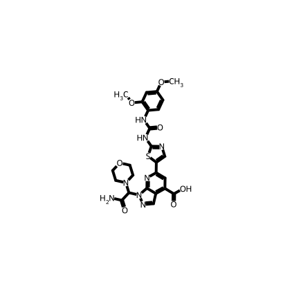 COc1ccc(NC(=O)Nc2ncc(-c3cc(C(=O)O)c4cnn(C(C(N)=O)N5CCOCC5)c4n3)s2)c(OC)c1